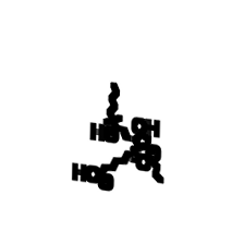 CCCCCC(C)(C)C(O)/C=C/[C@@H]1C(SCCCCCC(=O)O)=C(OC(=O)CCC)C[C@H]1O